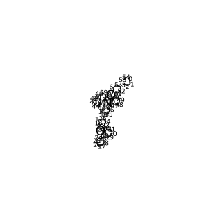 c1ccc(-c2ccc3oc4c(N(c5ccc(-c6ccc7oc8c(-c9ccccc9)cccc8c7c6)cc5)c5cccc6ccccc56)cccc4c3c2)cc1